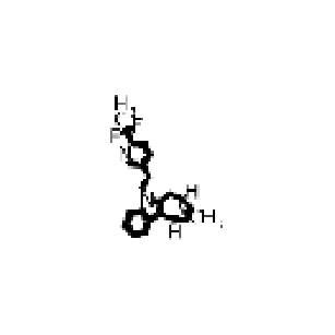 CN1[C@@H]2CC[C@H]1c1c(n(CCc3ccc(C(C)(F)F)nc3)c3ccccc13)C2